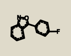 Fc1ccc(-c2onc3ccccc23)cc1